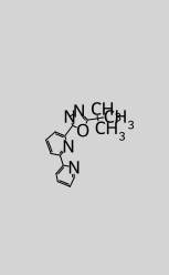 CC(C)(C)c1nnc(-c2cccc(-c3ccccn3)n2)o1